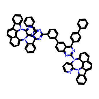 c1ccc(-c2ccc(-c3nc(-n4c5cccc6ccc7c8ccccc8n(c8ncccc84)c7c65)nc4ccc(-c5cccc(-c6nc(-c7ccccc7)nc(-c7ccccc7-n7c8cccc9ccc%10c%11ccccc%11n(c%11ncccc%117)c%10c98)n6)c5)cc34)cc2)cc1